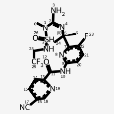 CN1C(N)=N[C@](C)(c2nc(NC(=O)c3ccc(C#N)cn3)ccc2F)C[SH]1(=O)NCC(F)(F)F